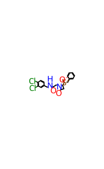 O=C(CN1C(=O)CC1[S+]([O-])Cc1ccccc1)NCc1ccc(Cl)c(Cl)c1